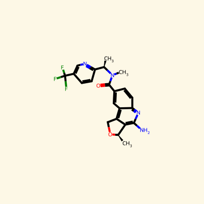 C[C@H](c1ccc(C(F)(F)F)cn1)N(C)C(=O)c1ccc2nc(N)c3c(c2c1)CO[C@@H]3C